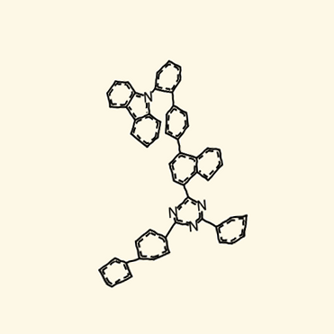 c1ccc(-c2ccc(-c3nc(-c4ccccc4)nc(-c4ccc(-c5ccc(-c6ccccc6-n6c7ccccc7c7ccccc76)cc5)c5ccccc45)n3)cc2)cc1